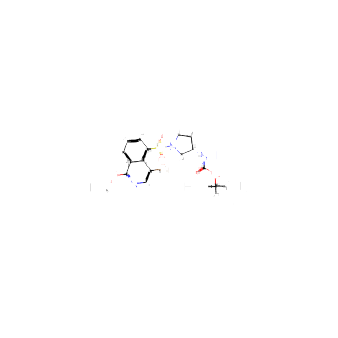 COc1ncc(Br)c2c(S(=O)(=O)N3CC[C@H](NC(=O)OC(C)(C)C)C3)cccc12